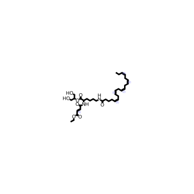 CC/C=C\C/C=C\C/C=C\C/C=C\C/C=C\CCCC(=O)NCCCCC(NC(=O)/C=C/C(=O)OCC)C(=O)OC(CO)CO